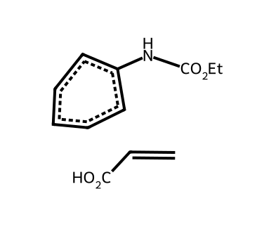 C=CC(=O)O.CCOC(=O)Nc1ccccc1